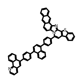 c1ccc2cc3c(ccc4c3nc3c5sc6ccccc6c5cc(-c5ccc(-c6ccc(-c7ccc(-c8cc9cccnc9c9ccccc89)cc7)c7ccccc67)cc5)n43)cc2c1